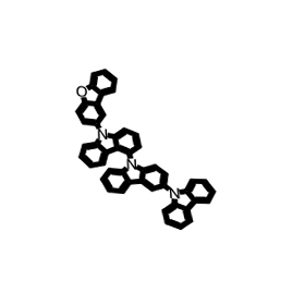 c1ccc2c(c1)oc1ccc(-n3c4ccccc4c4c(-n5c6ccccc6c6cc(-n7c8ccccc8c8ccccc87)ccc65)cccc43)cc12